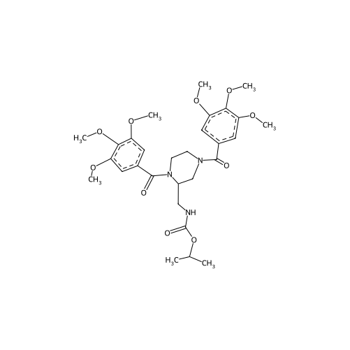 COc1cc(C(=O)N2CCN(C(=O)c3cc(OC)c(OC)c(OC)c3)C(CNC(=O)OC(C)C)C2)cc(OC)c1OC